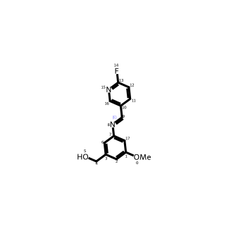 COc1cc(CO)cc(/N=C/c2ccc(F)nc2)c1